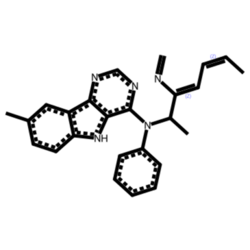 C=N/C(=C\C=C/C)C(C)N(c1ccccc1)c1ncnc2c1[nH]c1ccc(C)cc12